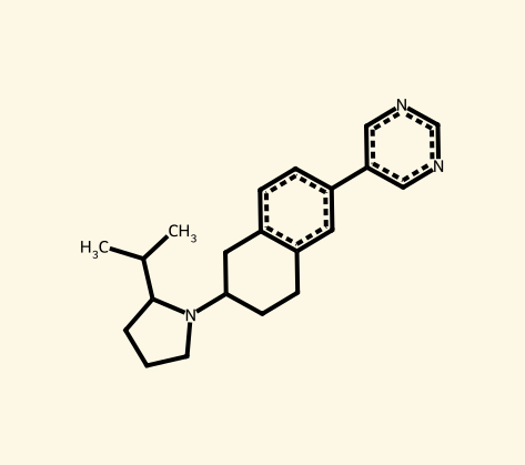 CC(C)C1CCCN1C1CCc2cc(-c3cncnc3)ccc2C1